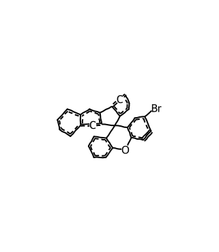 Brc1c#cc2c(c1)C1(c3ccccc3O2)c2ccccc2-c2cc3ccccc3cc21